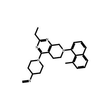 C=NC1CCN(c2nc(CC)nc3c2CCN(c2cccc4cccc(C)c24)C3)CC1